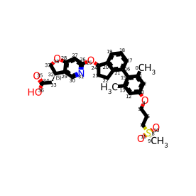 Cc1cc(OCCCS(C)(=O)=O)cc(C)c1-c1cccc2c1CCC2Oc1cc2c(cn1)[C@H](CC(=O)O)CO2